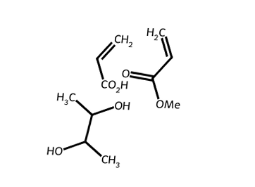 C=CC(=O)O.C=CC(=O)OC.CC(O)C(C)O